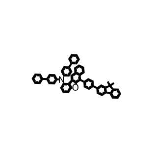 CC1(C)c2ccccc2-c2ccc(-c3ccc(-c4c5ccccc5cc5c4oc4cccc(N(c6ccc(-c7ccccc7)cc6)c6ccc(-c7ccccc7)cc6)c45)cc3)cc21